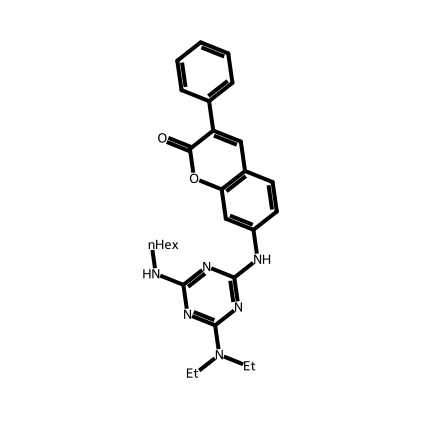 CCCCCCNc1nc(Nc2ccc3cc(-c4ccccc4)c(=O)oc3c2)nc(N(CC)CC)n1